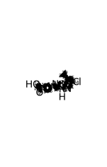 Cc1nn(C2CCN(C(=O)C(C)(C)O)CC2)cc1Nc1ncc2c(Cl)cc(C3CC3)n2n1